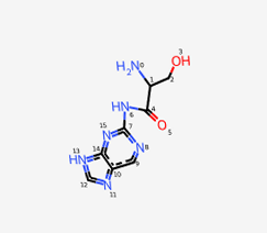 NC(CO)C(=O)Nc1ncc2nc[nH]c2n1